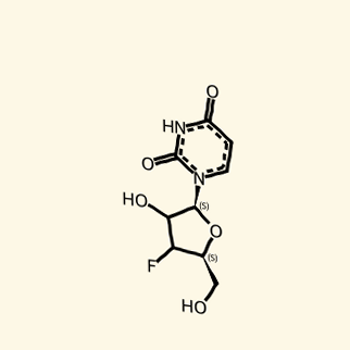 O=c1ccn([C@H]2O[C@@H](CO)C(F)C2O)c(=O)[nH]1